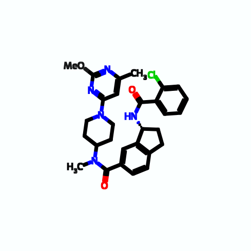 COc1nc(C)cc(N2CCC(N(C)C(=O)c3ccc4c(c3)[C@H](NC(=O)c3ccccc3Cl)CC4)CC2)n1